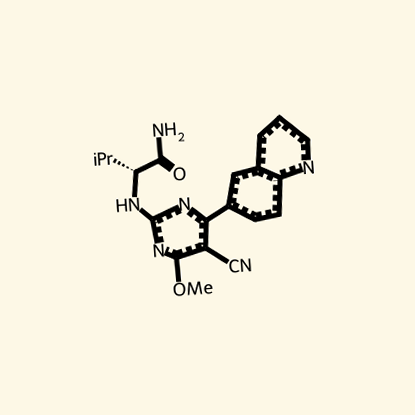 COc1nc(N[C@@H](C(N)=O)C(C)C)nc(-c2ccc3ncccc3c2)c1C#N